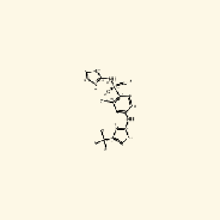 CC(C)(C)c1csc(Nc2ccc(S(=O)(=O)Nc3nccs3)c(Cl)c2)n1